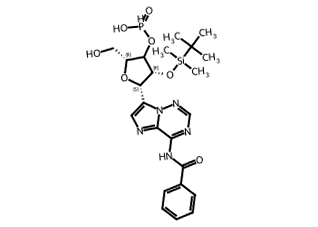 CC(C)(C)[Si](C)(C)O[C@H]1C(O[PH](=O)O)[C@@H](CO)O[C@H]1c1cnc2c(NC(=O)c3ccccc3)ncnn12